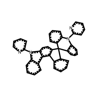 c1ccc(N2c3ccccc3C3(c4ccccc4-c4c3ccc3c4c4ccccc4n3-c3ccccn3)c3ccccc32)nc1